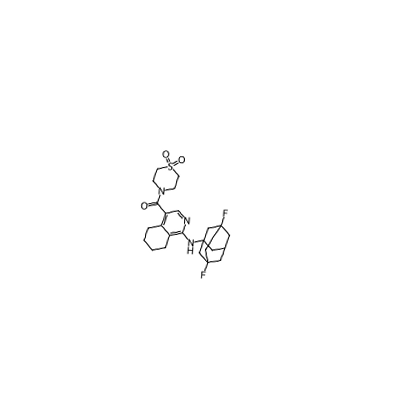 O=C(c1cnc(NC23CC4CC(F)(CC(F)(C4)C2)C3)c2c1CCCC2)N1CCS(=O)(=O)CC1